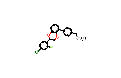 O=C(O)Cc1ccc(-c2cccc3c2OCC(c2ccc(Cl)cc2F)O3)cc1